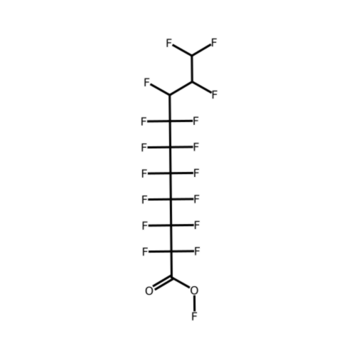 O=C(OF)C(F)(F)C(F)(F)C(F)(F)C(F)(F)C(F)(F)C(F)(F)C(F)C(F)C(F)F